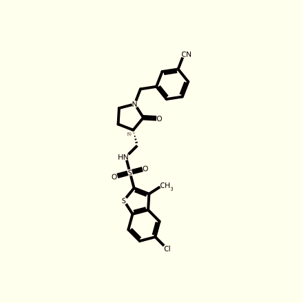 Cc1c(S(=O)(=O)NC[C@@H]2CCN(Cc3cccc(C#N)c3)C2=O)sc2ccc(Cl)cc12